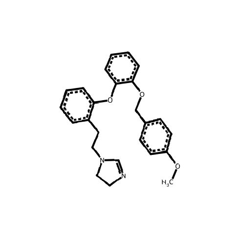 COc1ccc(COc2ccccc2Oc2ccccc2CCN2C=NCC2)cc1